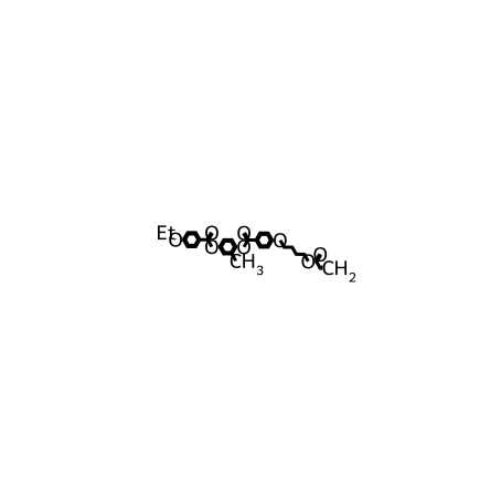 C=CC(=O)OCCCCOc1ccc(C(=O)Oc2ccc(OC(=O)c3ccc(OCC)cc3)cc2C)cc1